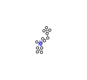 c1ccc(-c2nc(-c3ccc4c(c3)C(c3ccccc3)(c3ccccc3)c3ccccc3-4)cc(-c3ccc(-c4cccc(-c5ccc6c(c5)-c5ccccc5C6(c5ccccc5)c5ccccc5)c4)c4ccccc34)n2)cc1